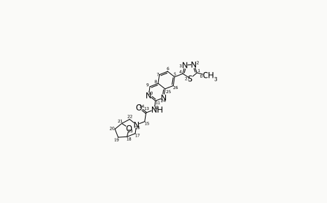 Cc1nnc(-c2ccc3cnc(NC(=O)CN4CC5CCC(C4)O5)nc3c2)s1